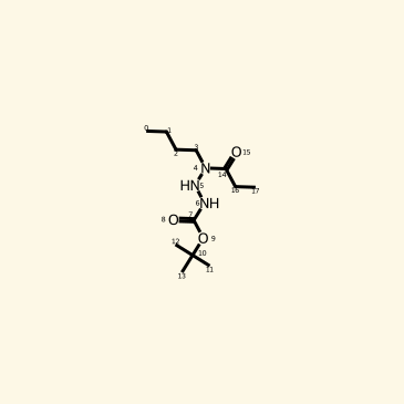 CCCCN(NNC(=O)OC(C)(C)C)C(=O)CC